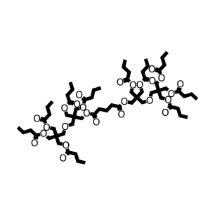 CCCC(=O)OCC(COCC(COC(=O)CCC)(COC(=O)CCC)COC(=O)CCCC(=O)OCC(COCC(COC(=O)CCC)(COC(=O)CCC)COC(=O)CCC)(COC(=O)CCC)COC(=O)CCC)(COC(=O)CCC)COC(=O)CCC